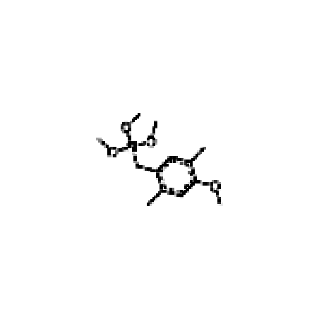 COc1cc(C)c(C[Si](OC)(OC)OC)cc1C